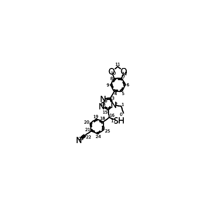 CCn1c(-c2ccc3c(c2)OCO3)nnc1C(S)c1ccc(C#N)cc1